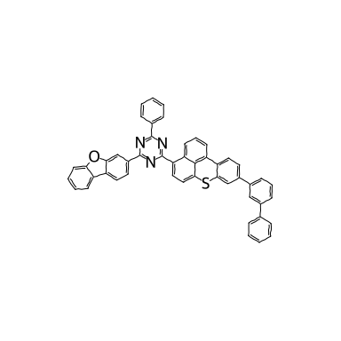 c1ccc(-c2cccc(-c3ccc4c(c3)Sc3ccc(-c5nc(-c6ccccc6)nc(-c6ccc7c(c6)oc6ccccc67)n5)c5cccc-4c35)c2)cc1